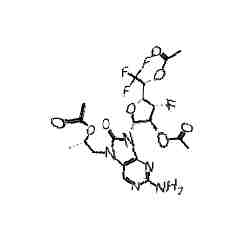 CC(=O)O[C@@H]1[C@@H](F)[C@@H]([C@@H](OC(C)=O)C(F)(F)F)O[C@H]1n1c(=O)n(C[C@H](C)OC(C)=O)c2cnc(N)nc21